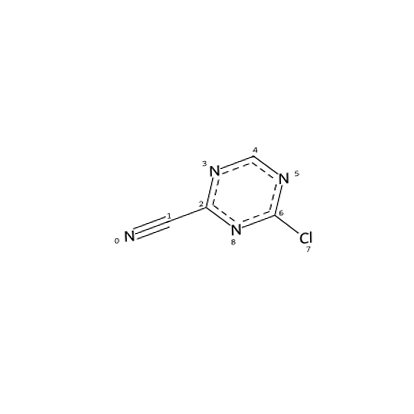 N#Cc1ncnc(Cl)n1